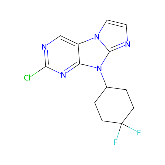 FC1(F)CCC(n2c3nc(Cl)ncc3n3ccnc23)CC1